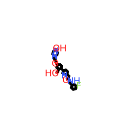 O=C(Cc1ccc(-c2ccc(OCCN3CCN(O)CC3)cc2CO)cn1)NCc1cccc(F)c1